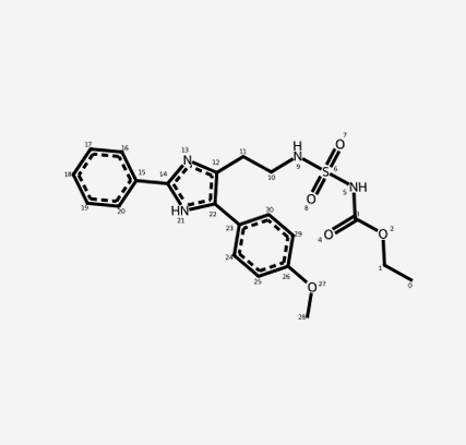 CCOC(=O)NS(=O)(=O)NCCc1nc(-c2ccccc2)[nH]c1-c1ccc(OC)cc1